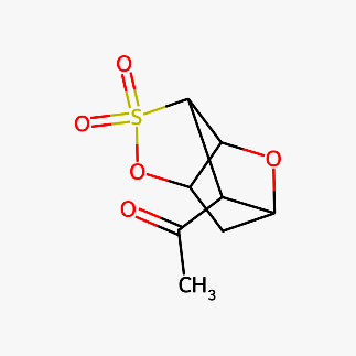 CC(=O)C1C2CC3OS(=O)(=O)C1C3O2